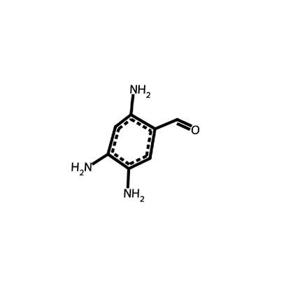 Nc1cc(N)c(C=O)cc1N